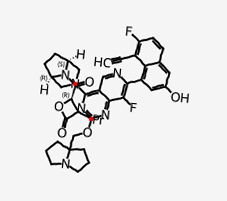 C#Cc1c(F)ccc2cc(O)cc(-c3ncc4c(N5C[C@H]6CC[C@@H](C5)N6C(=O)[C@@H]5OC(=O)C5C(C)C)nc(OCC56CCCN5CCC6)nc4c3F)c12